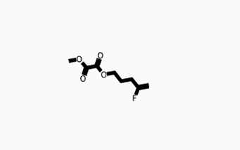 C=C(F)CCCOC(=O)C(=O)OC